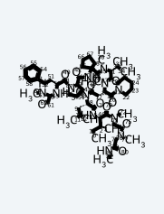 CC[C@H](C)[C@H](NC(=O)[C@H](CC(C)C)N(C)C(=O)C[C@@H](C(=O)N1CCCCC1)N(C)C(=O)[C@H](C(C)C)N(C)C(=O)C1(NC(=O)C2CCCN2C(=O)[C@H](CCc2ccccc2)NC(C=O)NC)CCCC1)C(=O)N(C)CC(=O)N(C)CC(=O)NC